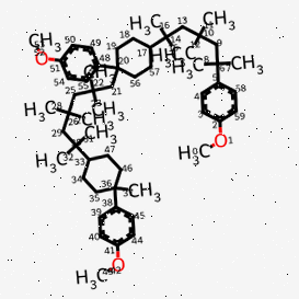 COc1ccc(C(C)(C)CC(C)(C)CC(C)(C)C2CCC(CC(C)(C)CC(C)(C)CC(C)(C)C3CCC(C)(c4ccc(OC)cc4)CC3)(c3ccc(OC)cc3)CC2)cc1